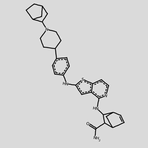 NC(=O)C1C2C=CC(C2)C1Nc1nccc2sc(Nc3ccc(C4CCN(C5CC6CCC5C6)CC4)cc3)cc12